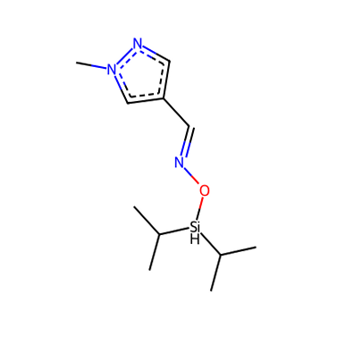 CC(C)[SiH](ON=Cc1cnn(C)c1)C(C)C